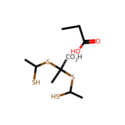 CC(S)SC(C)(SC(C)S)C(=O)O.CCC(=O)O